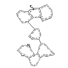 c1cnc2c(c1)ccc1cccc(-c3ccc(-c4cccc5sc6ccccc6c45)cc3)c12